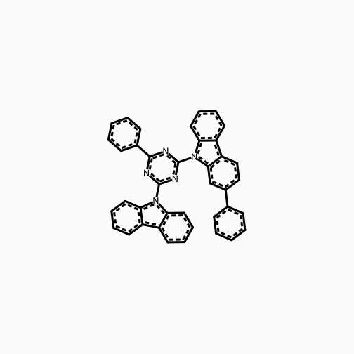 c1ccc(-c2ccc3c4ccccc4n(-c4nc(-c5ccccc5)nc(-n5c6ccccc6c6ccccc65)n4)c3c2)cc1